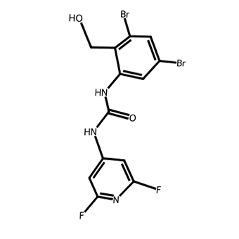 O=C(Nc1cc(F)nc(F)c1)Nc1cc(Br)cc(Br)c1CO